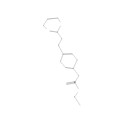 CCOC(=O)CC1CCC(CCC2OCCCO2)CC1